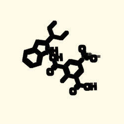 CCC(CC)c1cc2ccccc2[nH]1.Cc1c(C(=O)O)cc([N+](=O)[O-])cc1C(=O)O